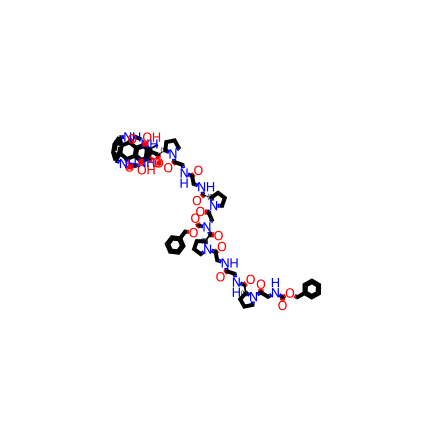 C[C@]1(C(=O)[C@@H]2CCCN2C(=O)CNC(=O)CNC(=O)[C@@H]2CCCN2C(=O)CN(C(=O)OCc2ccccc2)C(=O)[C@@H]2CCCN2C(=O)CNC(=O)CNC(=O)[C@@H]2CCCN2C(=O)CNC(=O)OCc2ccccc2)NCCNc2ccc(c3c2C(=O)c2c(O)ccc(O)c2C3=O)NCCNC1=O